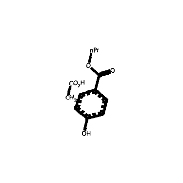 CC(=O)O.CCCOC(=O)c1ccc(O)cc1